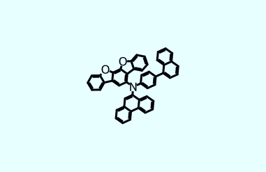 c1ccc2c(-c3ccc(N(c4cc5ccccc5c5ccccc45)c4cc5c6ccccc6oc5c5oc6ccccc6c45)cc3)cccc2c1